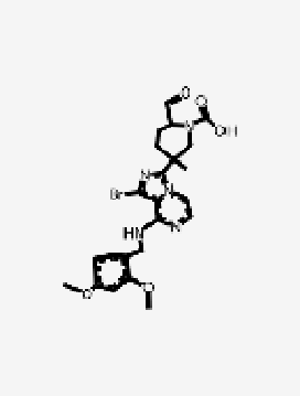 COc1ccc(CNc2nccn3c(C4(C)CCC(C=O)N(C(=O)O)C4)nc(Br)c23)c(OC)c1